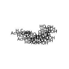 CC(=O)NC1[C@H](OC2C(O)[C@H](O)C(CO)O[C@@H]2O[C@@H]2C(O)[C@H](O[C@@H]3C(CO)O[C@@H](O[C@@H]4C(CO)O[C@@H](C)C(NC(C)=O)[C@H]4O)C(NC(C)=O)[C@H]3O)OC(CO)[C@H]2O)OC(CO)[C@@H](O[C@@H]2OC3[C@@H]([C@H](O)C2O)C3(O)O[C@]2(OC=O)C[C@@H](O)[C@@H](C)C(C(O)[C@H](O)CO)O2)[C@@H]1O